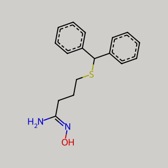 NC(CCCSC(c1ccccc1)c1ccccc1)=NO